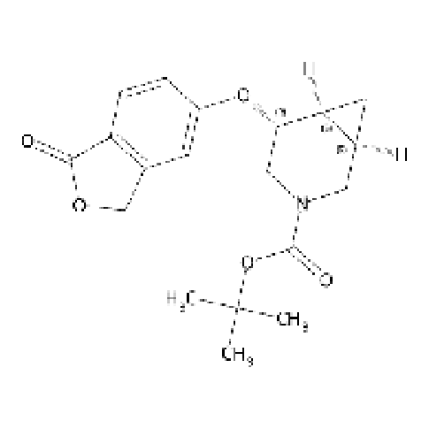 CC(C)(C)OC(=O)N1C[C@@H]2C[C@@H]2[C@@H](Oc2ccc3c(c2)COC3=O)C1